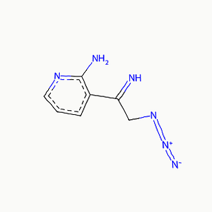 [N-]=[N+]=NCC(=N)c1cccnc1N